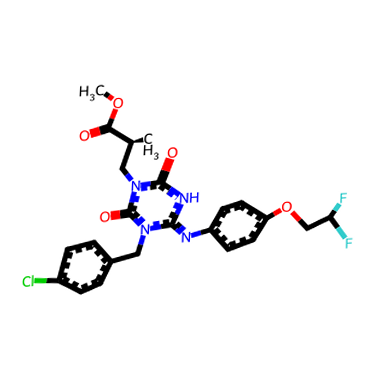 COC(=O)[C@@H](C)Cn1c(=O)[nH]/c(=N\c2ccc(OCC(F)F)cc2)n(Cc2ccc(Cl)cc2)c1=O